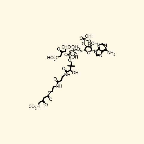 CC(C)(COP(=O)(O)OP(=O)(O)OC[C@H]1O[C@@H](n2cnc3c(N)ncnc32)[C@H](O)[C@@H]1OP(=O)(O)O)C(O)C(=O)NCCC(=O)NCCSC(=O)CC(=O)CC(=O)O.O=CCC(=O)CC(=O)O